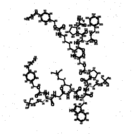 CN(C)CCCC[C@H](NC(=O)CNC(=O)[C@H](CSSC(C)(C)C)NC(=O)OCc1ccc(N=[N+]=[N-])cc1)C(=O)N[C@@H](Cc1c[nH]c2ccccc12)C(=O)N[C@@H](CSSC(C)(C)C)C(=O)N1CCC[C@H]1C(=O)OCC(=O)N[C@@H](CCCCNC(=O)OCc1ccc(N=[N+]=[N-])cc1)C(=O)N[C@@H](CC(=O)SCc1ccccc1)C(=O)N1CCC[C@H]1C(N)=O